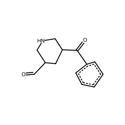 O=CC1CNCC(C(=O)c2ccccc2)C1